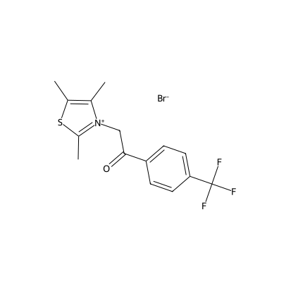 Cc1sc(C)[n+](CC(=O)c2ccc(C(F)(F)F)cc2)c1C.[Br-]